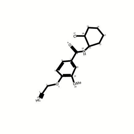 C#CCOc1ccc(C(=O)NC2CCCCC2Cl)cc1OC